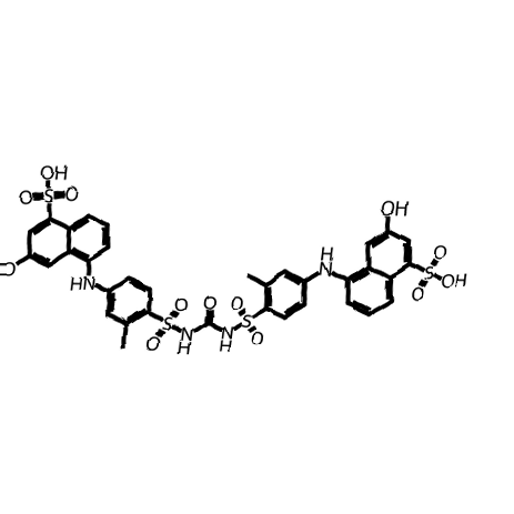 Cc1cc(Nc2cccc3c(S(=O)(=O)O)cc(O)cc23)ccc1S(=O)(=O)NC(=O)NS(=O)(=O)c1ccc(Nc2cccc3c(S(=O)(=O)O)cc(O)cc23)cc1C